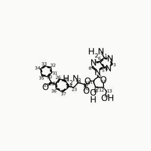 Nc1ncnc2c1ncn2[C@H]1O[C@@H](CO)[C@H](O)[C@H]1OC(=O)C(N)Cc1ccc(C(=O)c2ccccc2)cc1